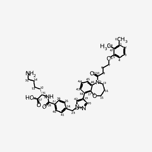 Cc1cccc(OCCCC(=O)N2CCCOc3c(-c4cnn(Cc5ccc(C(=O)N[C@@H](CCCCN)C(=O)O)cc5)c4)cccc32)c1C